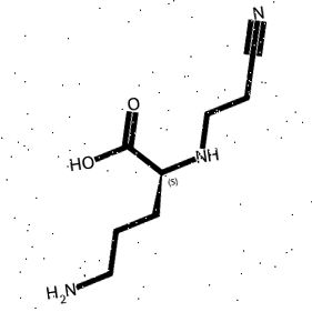 N#CCCN[C@@H](CCCN)C(=O)O